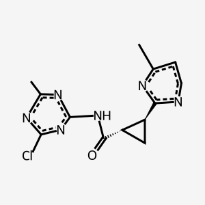 Cc1ccnc([C@H]2C[C@@H]2C(=O)Nc2nc(C)nc(Cl)n2)n1